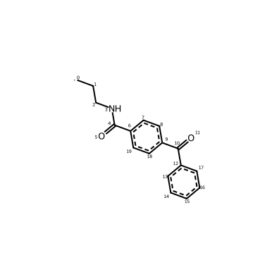 [CH2]CCNC(=O)c1ccc(C(=O)c2ccccc2)cc1